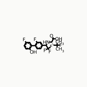 CC(C)(F)C[C@H](NC(c1ccc(-c2cc(F)ccc2O)c(F)c1)C(F)(F)F)C(=O)O